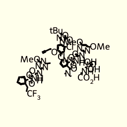 C#CCOc1cc(-n2nc(C(C)(C)C)oc2=O)c(Cl)cc1Cl.COc1cc(OC)nc(NC(=O)NS(=O)(=O)c2ncccc2C(=O)N(C)C)n1.COc1nc(C)nc(NC(=O)NS(=O)(=O)c2ccccc2CCC(F)(F)F)n1.O=C(O)CNCP(=O)(O)O